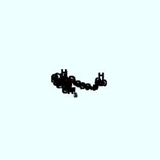 CCn1nc(C2CC2)cc1Nc1nc(C(=O)NCCOCCOCCOCCCc2cccc(SC3CCC(=O)NC3=O)c2)nc2[nH]c3cc(-c4c(C)noc4C)c(OC)cc3c12